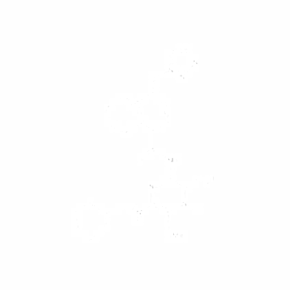 COC1=C(NCC2CCOCC2)N=C(NC(=O)c2ccc(Cn3ccnn3)c3ccccc23)C(C(=O)O)N1C